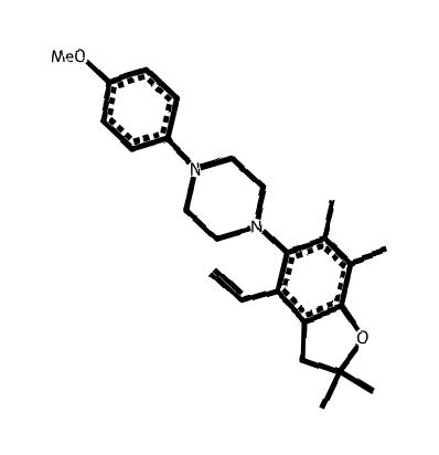 C=Cc1c2c(c(C)c(C)c1N1CCN(c3ccc(OC)cc3)CC1)OC(C)(C)C2